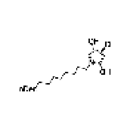 CCCCCCCCCCCCCCCCCCn1cc(O)c(=O)cc1O